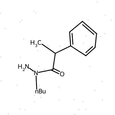 CCCCN(N)C(=O)C(C)c1ccccc1